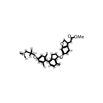 COC(=O)CC1COc2cc(O[C@@H]3CCc4c(-c5c(C)cc(OCC(C)(C)CN(C)C)cc5C)ccc(F)c43)ccc21